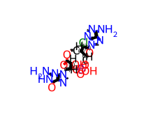 Nc1nc2c(ncn2[C@@H]2OC3OCC[C@H]4[C@H](Cl)[C@H](n5cnc6c(N)ncnc65)O[C@@H]4COP(=O)(O)O[C@@H]2[C@@H]3O)c(=O)[nH]1